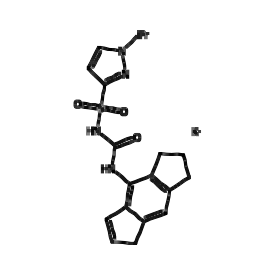 CC(C)n1ccc(S(=O)(=O)NC(=O)Nc2c3c(cc4c2CCC4)CC=C3)n1.[K]